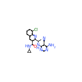 CC(Nc1ncnc(N)c1C#N)c1nc2c(Cl)cccc2cc1C(=O)NC1CC1